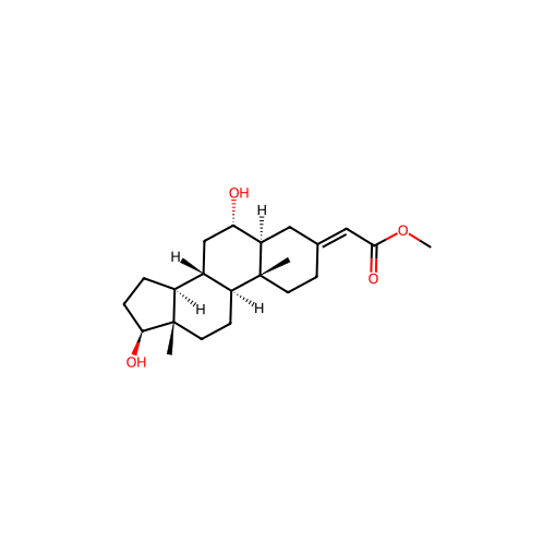 COC(=O)/C=C1\CC[C@@]2(C)[C@H](C1)[C@@H](O)C[C@@H]1[C@@H]2CC[C@]2(C)[C@@H](O)CC[C@@H]12